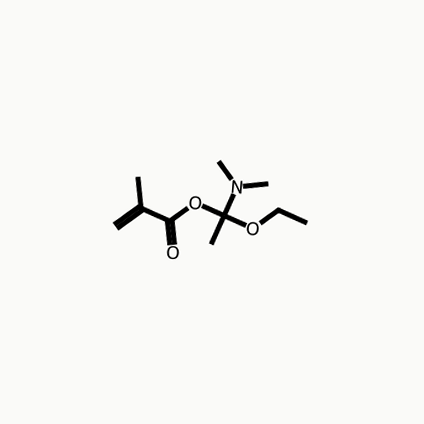 C=C(C)C(=O)OC(C)(OCC)N(C)C